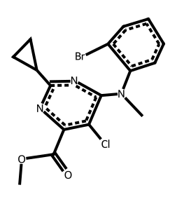 COC(=O)c1nc(C2CC2)nc(N(C)c2ccccc2Br)c1Cl